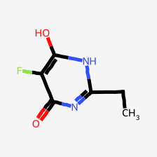 CCc1nc(=O)c(F)c(O)[nH]1